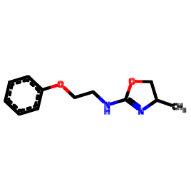 CC1COC(NCCOc2ccccc2)=N1